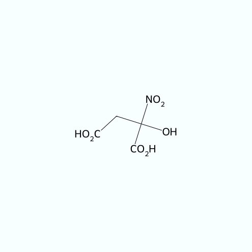 O=C(O)CC(O)(C(=O)O)[N+](=O)[O-]